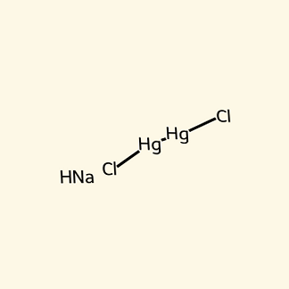 [Cl][Hg][Hg][Cl].[NaH]